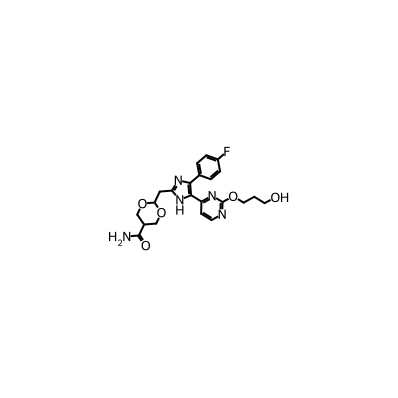 NC(=O)C1COC(Cc2nc(-c3ccc(F)cc3)c(-c3ccnc(OCCCO)n3)[nH]2)OC1